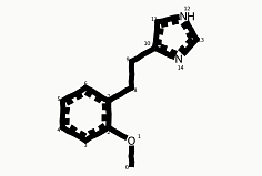 COc1ccccc1C[CH]c1c[nH]cn1